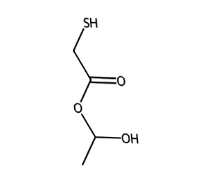 CC(O)OC(=O)CS